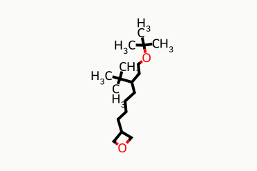 CC(C)(C)OCCC(CCCCC1COC1)C(C)(C)C